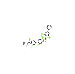 Fc1ccccc1-c1cc(F)c(C(F)(F)Oc2ccc(-c3cc(F)c(C(F)(F)F)c(F)c3)c(F)c2)c(F)c1